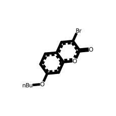 CCCCOc1ccc2cc(Br)c(=O)oc2c1